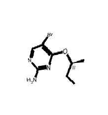 CC[C@H](C)Oc1nc(N)ncc1Br